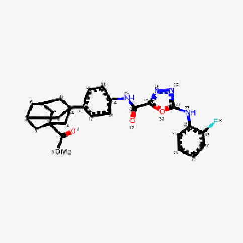 COC(=O)C12CC3CC(C1)CC(c1ccc(NC(=O)c4nnc(Nc5ccccc5F)o4)cc1)(C3)C2